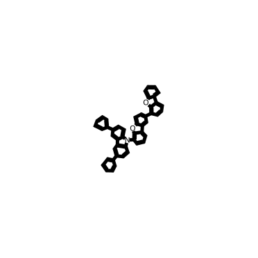 c1ccc(-c2ccc3c(c2)c2cc(-c4ccccc4)ccc2n3-c2cccc3c2oc2ccc(-c4cccc5c4oc4ccccc45)cc23)cc1